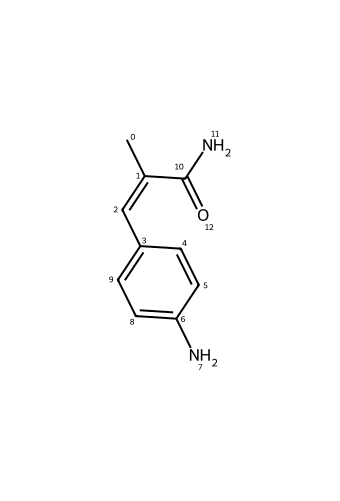 CC(=Cc1ccc(N)cc1)C(N)=O